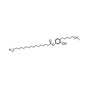 CCCCCCCCCCCCCCCC(=O)Oc1ccc(CCCCCC)c(O)c1